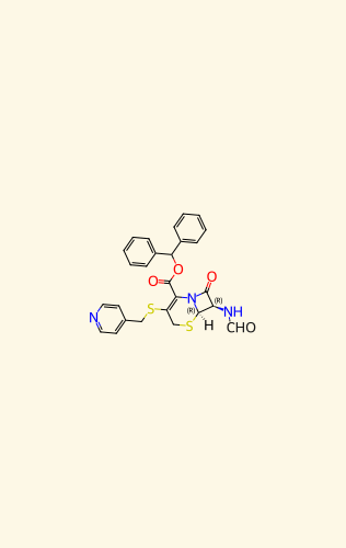 O=CN[C@@H]1C(=O)N2C(C(=O)OC(c3ccccc3)c3ccccc3)=C(SCc3ccncc3)CS[C@H]12